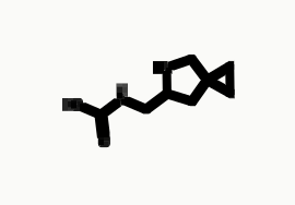 O=C(O)NCC1CC2(CC2)CN1